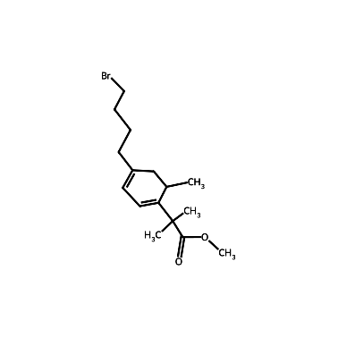 COC(=O)C(C)(C)C1=CC=C(CCCCBr)CC1C